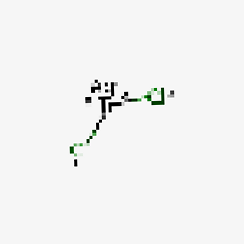 [Ag].[Cl][Ti][Cl]